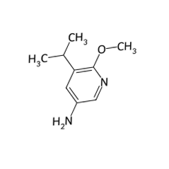 COc1ncc(N)cc1C(C)C